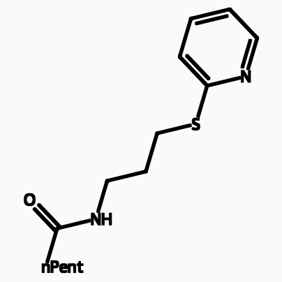 CCCCCC(=O)NCCCSc1ccccn1